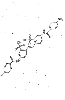 Nc1ccc(C(=O)Nc2ccc(C=Cc3ccc(NC(=O)c4ccc(N)cc4)cc3S(=O)(=O)O)c(S(=O)(=O)O)c2)cc1